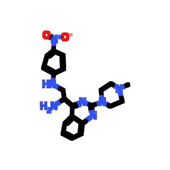 CN1CCN(c2nc(C(N)CNc3ccc([N+](=O)[O-])cc3)c3ccccc3n2)CC1